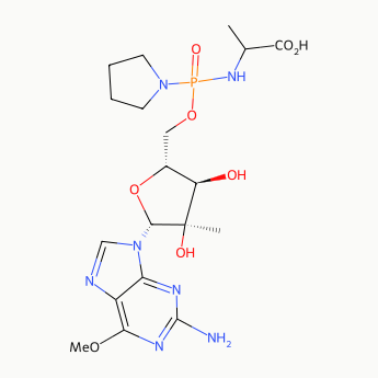 COc1nc(N)nc2c1ncn2[C@@H]1O[C@H](COP(=O)(NC(C)C(=O)O)N2CCCC2)[C@@H](O)[C@@]1(C)O